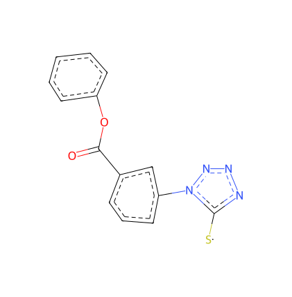 O=C(Oc1ccccc1)c1cccc(-n2nnnc2[S])c1